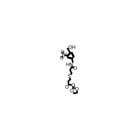 O=C(CCSCCC(=O)ON1OCCO1)NCc1ccc(CO)c([N+](=O)[O-])c1